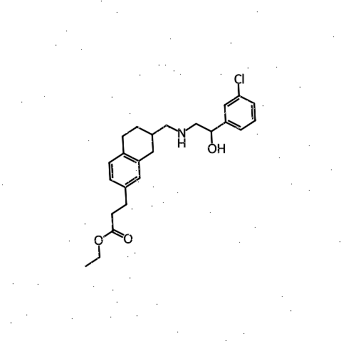 CCOC(=O)CCc1ccc2c(c1)CC(CNCC(O)c1cccc(Cl)c1)CC2